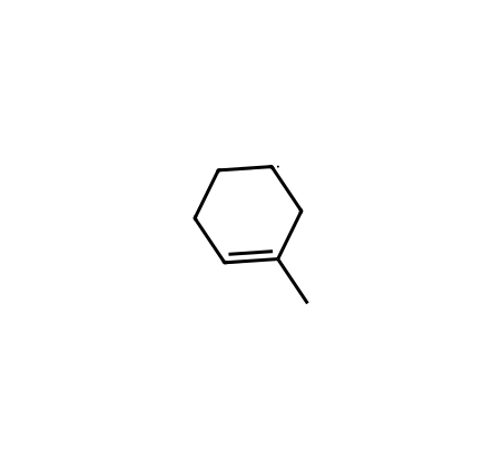 CC1=CCC[CH]C1